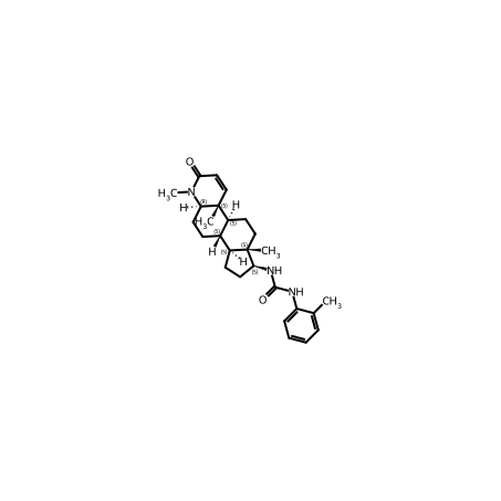 Cc1ccccc1NC(=O)N[C@H]1CC[C@H]2[C@@H]3CC[C@H]4N(C)C(=O)C=C[C@]4(C)[C@H]3CC[C@]12C